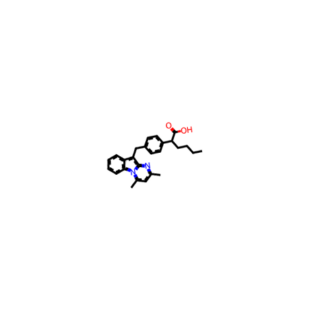 CCCCC(C(=O)O)c1ccc(Cc2c3ccccc3n3c(C)cc(C)nc23)cc1